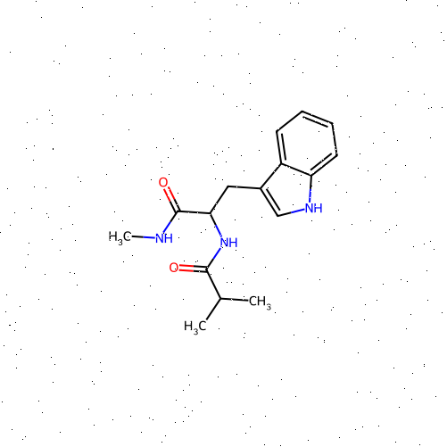 CNC(=O)C(Cc1c[nH]c2ccccc12)NC(=O)C(C)C